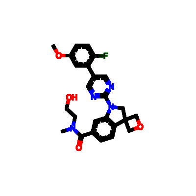 COc1ccc(F)c(-c2cnc(N3CC4(COC4)c4ccc(C(=O)N(C)CCO)cc43)nc2)c1